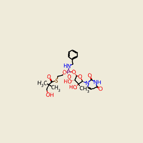 CC(C)(CO)C(=O)SCCOP(=O)(NCc1ccccc1)O[C@H]1O[C@@H](n2ccc(=O)[nH]c2=O)[C@](C)(O)[C@@H]1O